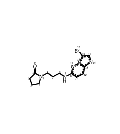 O=C1CCCN1CCCNc1ccc2ncc(Br)n2n1